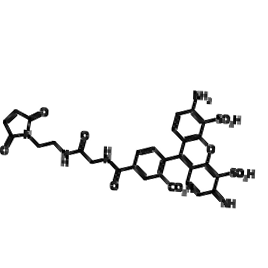 N=c1ccc2c(-c3ccc(C(=O)NCC(=O)NCCN4C(=O)C=CC4=O)cc3C(=O)O)c3ccc(N)c(S(=O)(=O)O)c3oc-2c1S(=O)(=O)O